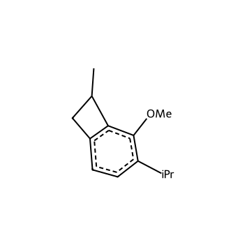 COc1c(C(C)C)ccc2c1C(C)C2